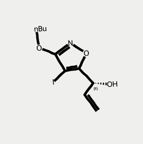 C=C[C@@H](O)c1onc(OCCCC)c1I